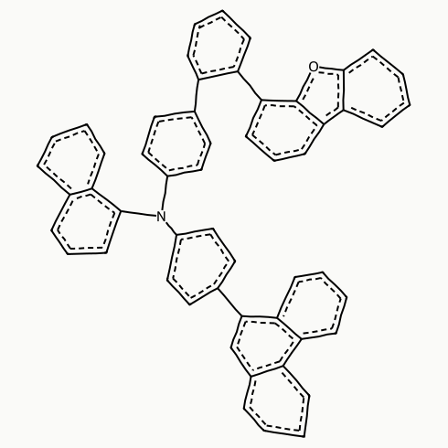 c1ccc(-c2cccc3c2oc2ccccc23)c(-c2ccc(N(c3ccc(-c4cc5ccccc5c5ccccc45)cc3)c3cccc4ccccc34)cc2)c1